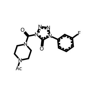 CC(=O)N1CCN(C(=O)n2nnn(-c3cccc(F)c3)c2=O)CC1